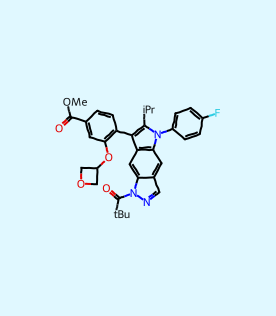 COC(=O)c1ccc(-c2c(C(C)C)n(-c3ccc(F)cc3)c3cc4cnn(C(=O)C(C)(C)C)c4cc23)c(OC2COC2)c1